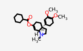 COC1=C(OC)CCC([C@@]23CCC(OC(=O)C4CCCCC4)=C[C@@H]2N(C)CC3)=C1